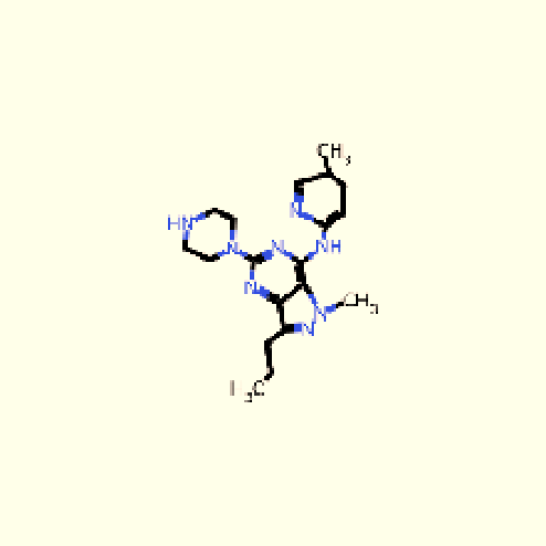 CCCc1nn(C)c2c(NC3=CCC(C)C=N3)nc(N3CCNCC3)nc12